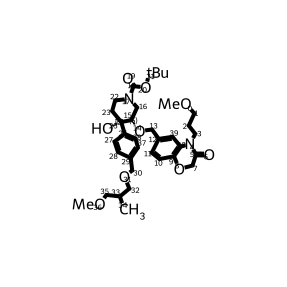 COCCCN1C(=O)COc2ccc(CO[C@H]3CN(C(=O)OC(C)(C)C)CC[C@]3(O)c3ccc(COCC(C)COC)cc3)cc21